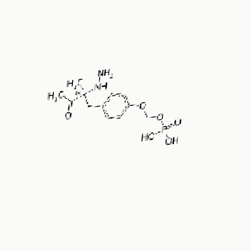 CC(=O)[C@](C)(Cc1ccc(OCOP(=O)(O)O)cc1)NN